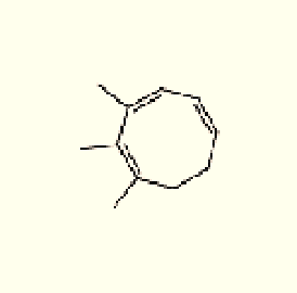 CC1=C/C=C\CC/C(C)=C\1C